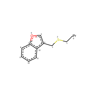 CC(C)CSCc1coc2ccccc12